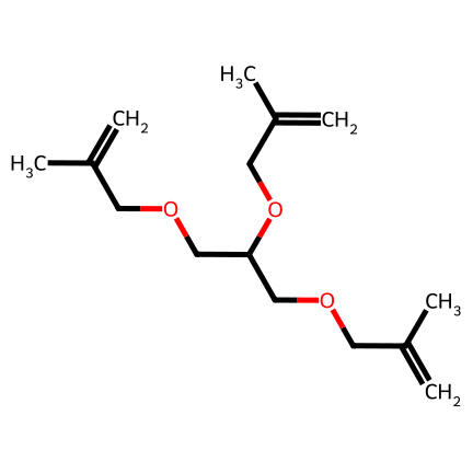 C=C(C)COCC(COCC(=C)C)OCC(=C)C